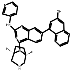 Oc1cc(-c2ccc3c(N4[C@@H]5CC[C@H]4CNC5)nc(Nc4cccnc4)nc3c2)c2ccccc2c1